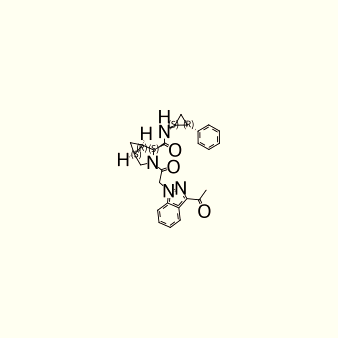 CC(=O)c1nn(CC(=O)N2C[C@H]3C[C@H]3[C@H]2C(=O)N[C@H]2C[C@@H]2c2ccccc2)c2ccccc12